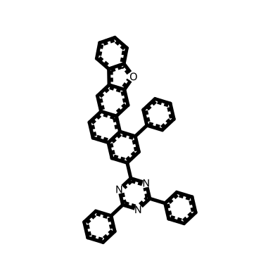 c1ccc(-c2nc(-c3ccccc3)nc(-c3cc(-c4ccccc4)c4c(ccc5cc6c(cc54)oc4ccccc46)c3)n2)cc1